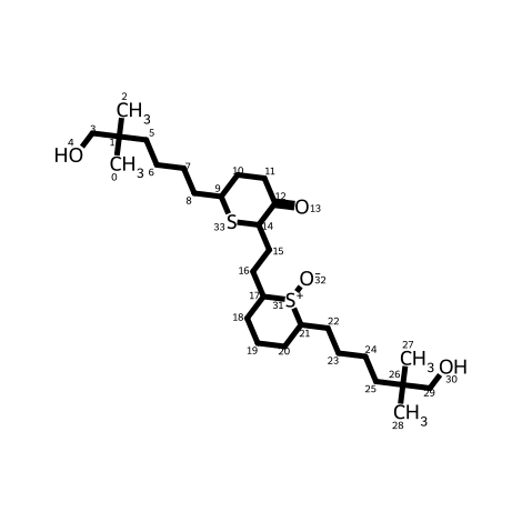 CC(C)(CO)CCCCC1CCC(=O)C(CCC2CCCC(CCCCC(C)(C)CO)[S+]2[O-])S1